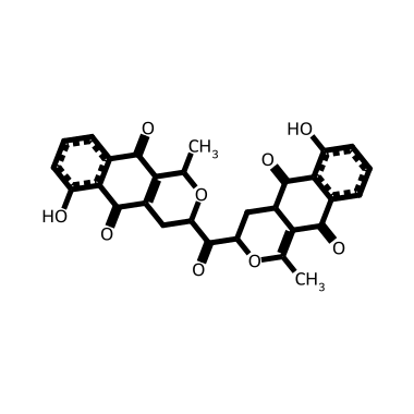 CC1=C2C(=O)c3cccc(O)c3C(=O)C2CC(C(=O)C2CC3=C(C(=O)c4cccc(O)c4C3=O)C(C)O2)O1